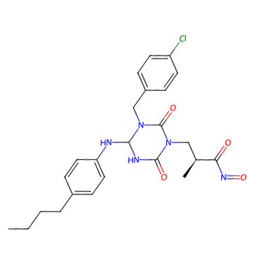 CCCCc1ccc(NC2NC(=O)N(C[C@H](C)C(=O)N=O)C(=O)N2Cc2ccc(Cl)cc2)cc1